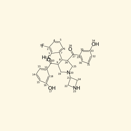 Cc1c(F)cccc1C1C(C(=O)c2cccc(O)c2)CN(C2CNC2)CC1C(=O)c1cccc(O)c1